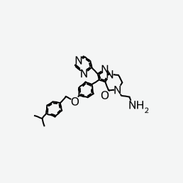 CC(C)c1ccc(COc2ccc(-c3c(-c4ccncn4)nn4c3C(=O)N(CCN)CC4)cc2)cc1